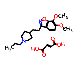 C=CCN1CCC(CCc2noc3c(OC)c(OC)ccc23)CC1.O=C(O)/C=C/C(=O)O